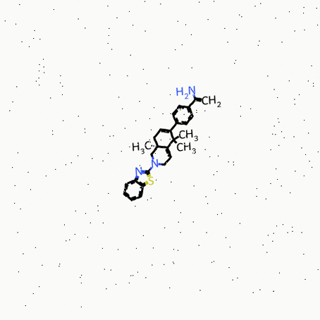 C=C(N)c1ccc(C2=CC[C@]3(C)CN(c4nc5ccccc5s4)CC=C3C2(C)C)cc1